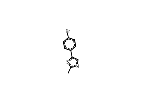 Cc1ncc(-c2ccc(Br)cc2)s1